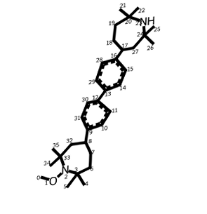 CON1C(C)(C)CCC(c2ccc(-c3ccc(C4CCC(C)(C)NC(C)(C)C4)cc3)cc2)CC1(C)C